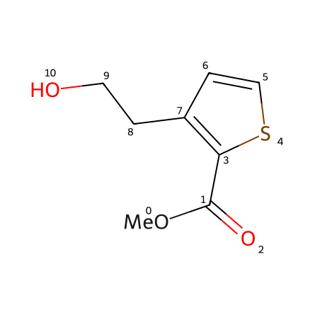 COC(=O)c1sccc1CCO